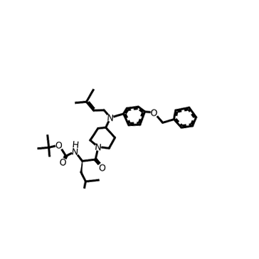 CC(C)=CCN(c1ccc(OCc2ccccc2)cc1)C1CCN(C(=O)[C@@H](CC(C)C)NC(=O)OC(C)(C)C)CC1